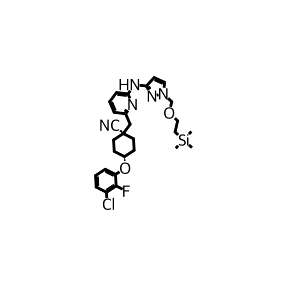 C[Si](C)(C)CCOCn1ccc(Nc2cccc(C[C@]3(C#N)CC[C@H](Oc4cccc(Cl)c4F)CC3)n2)n1